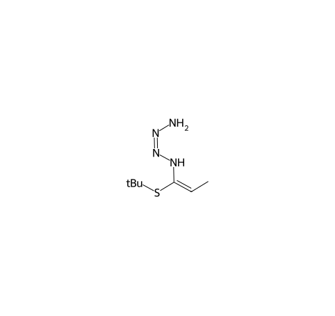 C/C=C(\N/N=N\N)SC(C)(C)C